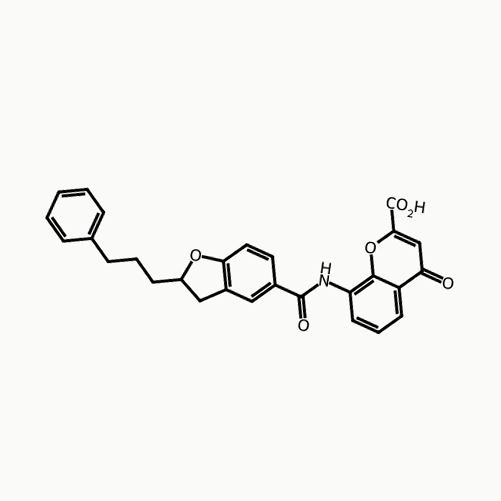 O=C(Nc1cccc2c(=O)cc(C(=O)O)oc12)c1ccc2c(c1)CC(CCCc1ccccc1)O2